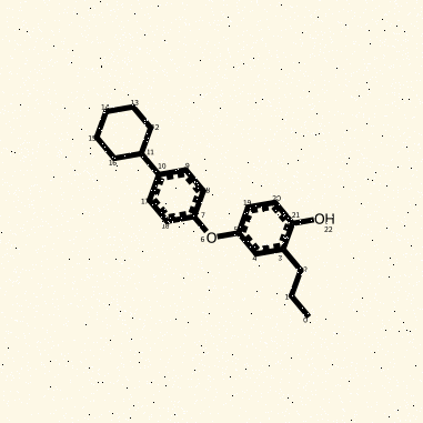 CCCc1cc(Oc2ccc(C3CCCCC3)cc2)ccc1O